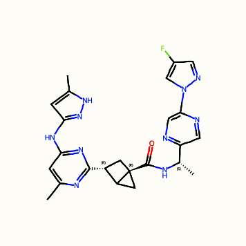 Cc1cc(Nc2cc(C)[nH]n2)nc([C@@H]2C[C@]3(C(=O)N[C@@H](C)c4cnc(-n5cc(F)cn5)cn4)CC23)n1